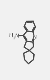 Nc1c2c(nc3ccccc13)CC1(CCCCC1)C2